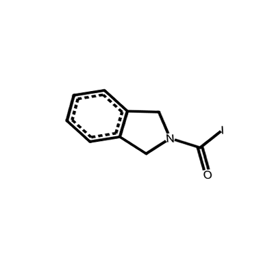 O=C(I)N1Cc2ccccc2C1